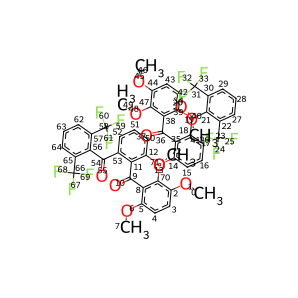 COc1ccc(OC)c(C(=O)c2c(Oc3cccc(C(=O)c4c(C(F)(F)F)cccc4C(F)(F)F)c3C(=O)c3c(OC)ccc(OC)c3OC)cccc2C(=O)c2c(C(F)(F)F)cccc2C(F)(F)F)c1OC